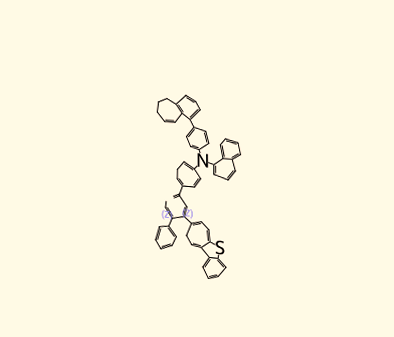 C=C(/C=C(C1=CC=c2sc3ccccc3c2=CC1)\C(=C/C)c1ccccc1)C1=CCC=C(N(c2ccc(-c3cccc4c3C=CCCC4)cc2)c2cccc3ccccc23)C=C1